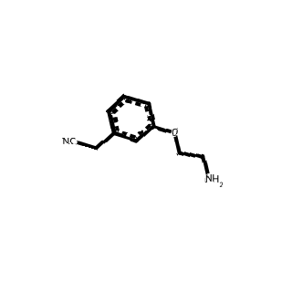 N#CCc1cccc(OCCN)c1